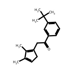 CC1=CCC(CC(=O)c2cccc(C(C)(C)C)c2)=C1C